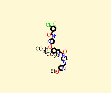 CCOc1ccc(CN2CCN(C(=O)c3cc4cc(Oc5ccc(N(C)C(=O)c6ccc(Cl)c(Cl)c6)cn5)ccc4n3C)CC2)nc1.O=C(O)/C=C\C(=O)O